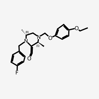 CCOc1ccc(OCN2C[C@@H](C)N(Cc3ccc(F)cc3)C(=C=O)[C@@H]2C)cc1